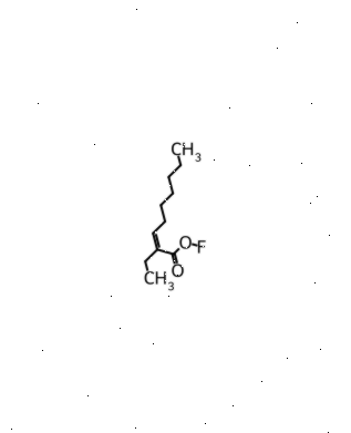 CCCCCCC=C(CC)C(=O)OF